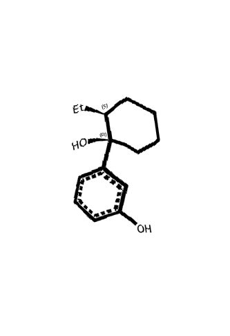 CC[C@H]1CCCC[C@]1(O)c1cccc(O)c1